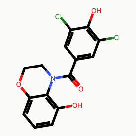 O=C(c1cc(Cl)c(O)c(Cl)c1)N1CCOc2cccc(O)c21